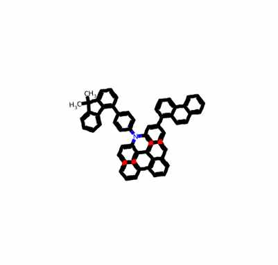 CC1(C)c2ccccc2-c2c(-c3ccc(N(c4cccc(-c5cccc6c5ccc5ccccc56)c4)c4ccccc4-c4cccc5cccc(-c6ccccc6)c45)cc3)cccc21